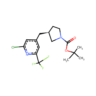 CC(C)(C)OC(=O)N1CC[C@H](Cc2cc(Cl)nc(C(F)(F)F)c2)C1